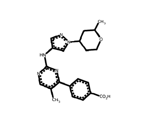 Cc1cnc(Nc2cnn(C3CCOC(C)C3)c2)nc1-c1ccc(C(=O)O)cc1